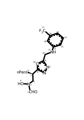 CCCCC[C@H](CN(O)C=O)c1nnc(CNc2cccc(C(F)(F)F)c2)o1